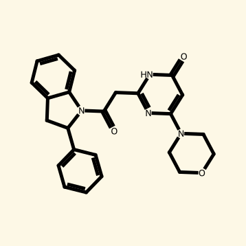 O=C(Cc1nc(N2CCOCC2)cc(=O)[nH]1)N1c2ccccc2CC1c1ccccc1